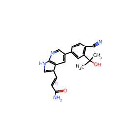 CC(C)(O)c1cc(-c2cnc3[nH]cc(/C=C/C(N)=O)c3c2)ccc1C#N